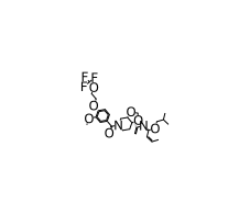 C=C(/N=C(\C=C/C)OCC(C)C)[C@]12CCN(C(=O)c3ccc(OCCOC(F)(F)F)c(OC)c3)CC1OCO2